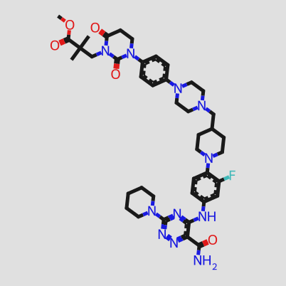 COC(=O)C(C)(C)CN1C(=O)CCN(c2ccc(N3CCN(CC4CCN(c5ccc(Nc6nc(N7CCCCC7)nnc6C(N)=O)cc5F)CC4)CC3)cc2)C1=O